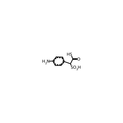 Nc1ccc(C(C(=O)S)S(=O)(=O)O)cc1